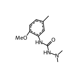 COc1ccc(C)cc1NC(=O)NN(C)C